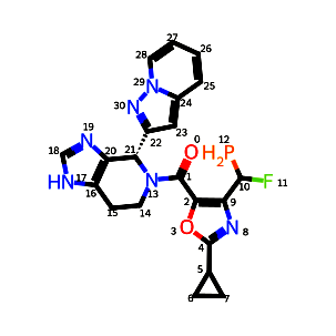 O=C(c1oc(C2CC2)nc1C(F)P)N1CCc2[nH]cnc2[C@@H]1c1cc2ccccn2n1